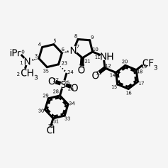 CC(C)N(C)[C@@H]1CC[C@H](N2CCC(NC(=O)c3cccc(C(F)(F)F)c3)C2=O)[C@H](CS(=O)(=O)c2ccc(Cl)cc2)C1